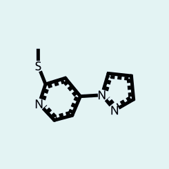 CSc1cc(-n2cccn2)ccn1